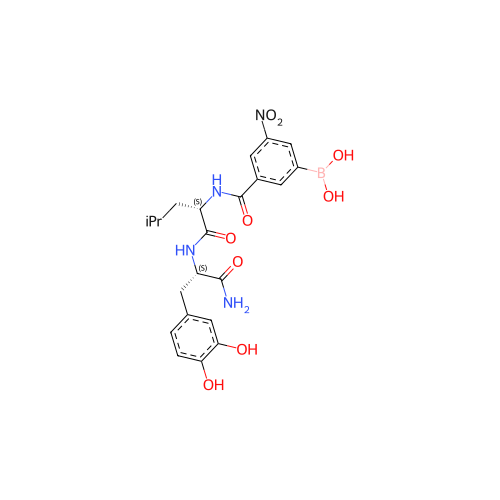 CC(C)C[C@H](NC(=O)c1cc(B(O)O)cc([N+](=O)[O-])c1)C(=O)N[C@@H](Cc1ccc(O)c(O)c1)C(N)=O